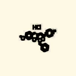 COc1ccc(C[C@H](CC(=O)N2CCN(C)CC2)C(=O)OCc2ccccc2)cc1.Cl